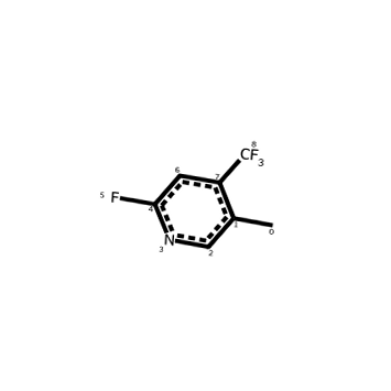 Cc1cnc(F)cc1C(F)(F)F